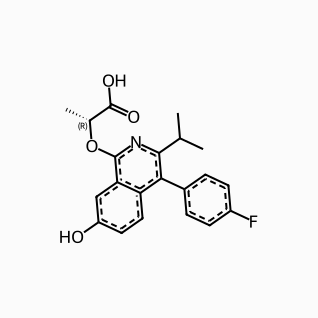 CC(C)c1nc(O[C@H](C)C(=O)O)c2cc(O)ccc2c1-c1ccc(F)cc1